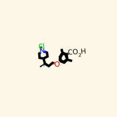 Cc1cc(OCC[C@@H](C)C2CCN(Cl)CC2)cc(C)c1C(=O)O